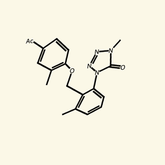 CC(=O)c1ccc(OCc2c(C)cccc2-n2nnn(C)c2=O)c(C)c1